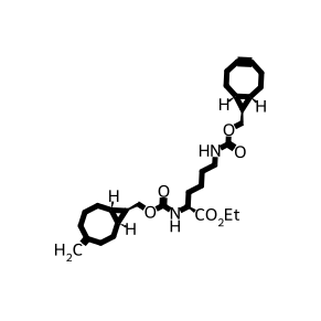 C=C1CCC[C@@H]2[C@H](CC1)[C@@H]2COC(=O)N[C@@H](CCCCNC(=O)OC[C@@H]1[C@@H]2CCC#CCC[C@@H]21)C(=O)OCC